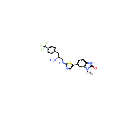 Cn1c(=O)[nH]c2ccc(-c3cnc(NCC(N)Cc4ccc(C(F)(F)F)cc4)s3)cc21